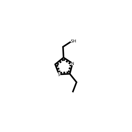 CCc1nc(CS)cs1